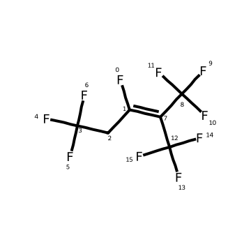 FC(CC(F)(F)F)=C(C(F)(F)F)C(F)(F)F